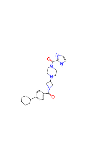 Cn1ccnc1C(=O)N1CCN(C2CN(C(=O)c3ccc(C4CCCCC4)cc3)C2)CC1